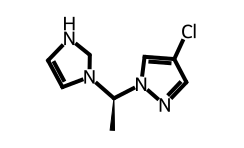 C[C@@H](N1C=CNC1)n1cc(Cl)cn1